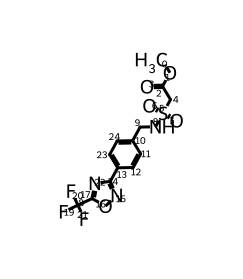 COC(=O)CS(=O)(=O)NCc1ccc(-c2noc(C(F)(F)F)n2)cc1